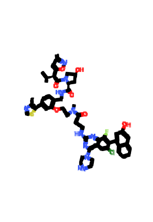 Cc1cc([C@@H](C(=O)N2C[C@H](O)C[C@H]2C(=O)NCc2ccc(-c3scnc3C)cc2OCCN(C)C(=O)CCNc2nc(N3CCNCC3)c3cc(Cl)c(-c4cc(O)cc5ccccc45)c(F)c3n2)C(C)C)on1